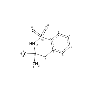 CC1(C)Cc2ccccc2S(=O)(=O)N1